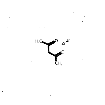 CC(=O)CC(C)=O.[Zr].[Zr]